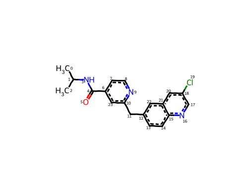 CC(C)NC(=O)c1ccnc(Cc2ccc3ncc(Cl)cc3c2)c1